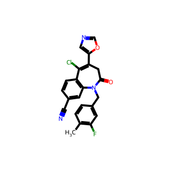 Cc1ccc(CN2C(=O)CC(c3cnco3)=C(Cl)c3ccc(C#N)cc32)cc1F